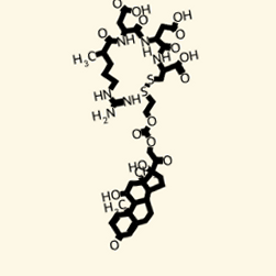 CC(CCCNC(=N)N)C(=O)NC(CC(=O)O)C(=O)NC(CC(=O)O)C(=O)NC(CSSCCOC(=O)OCC(=O)C1(O)CCC2C3CCC4=CC(=O)C=CC4(C)C3C(O)CC21C)C(=O)O